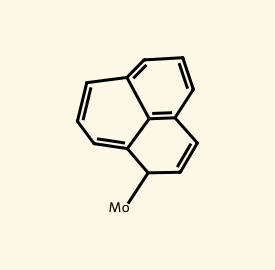 [Mo][CH]1C=Cc2cccc3cccc1c23